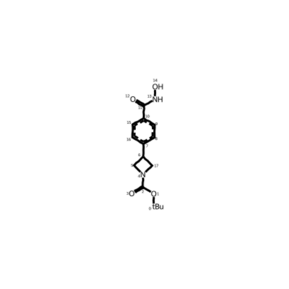 CC(C)(C)OC(=O)N1CC(c2ccc(C(=O)NO)cc2)C1